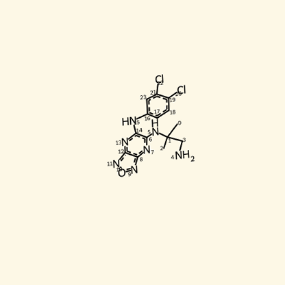 CC(C)(CN)Nc1nc2nonc2nc1Nc1ccc(Cl)c(Cl)c1